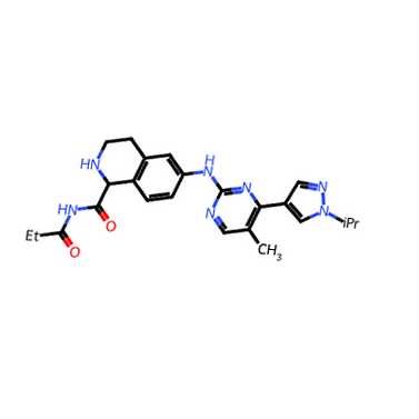 CCC(=O)NC(=O)C1NCCc2cc(Nc3ncc(C)c(-c4cnn(C(C)C)c4)n3)ccc21